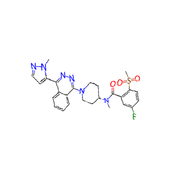 CN(C(=O)c1cc(F)ccc1S(C)(=O)=O)C1CCN(c2nnc(-c3ccnn3C)c3ccccc23)CC1